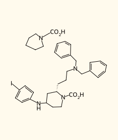 O=C(O)N1CCC(Nc2ccc(I)cc2)C[C@@H]1CCCN(Cc1ccccc1)Cc1ccccc1.O=C(O)N1CCCCC1